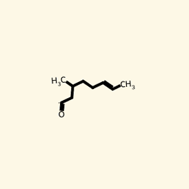 CC=CCCC(C)C[C]=O